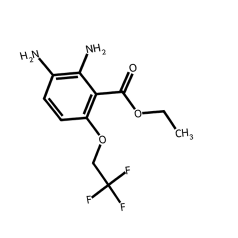 CCOC(=O)c1c(OCC(F)(F)F)ccc(N)c1N